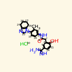 Cc1cc(NC(=O)Cc2cc(C(=N)N)ccc2O)ccc1-n1cnc2c1CCCC2.Cl